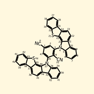 N#Cc1cc(-n2c3ccccc3c3ccc4c5ccccc5sc4c32)c(C#N)c(-n2c3ccccc3c3ccc4c5ccccc5sc4c32)c1